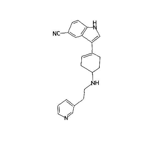 N#Cc1ccc2[nH]cc(C3=CCC(NCCc4cccnc4)CC3)c2c1